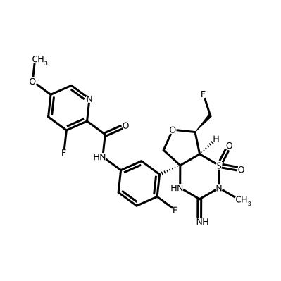 COc1cnc(C(=O)Nc2ccc(F)c([C@]34CO[C@@H](CF)[C@H]3S(=O)(=O)N(C)C(=N)N4)c2)c(F)c1